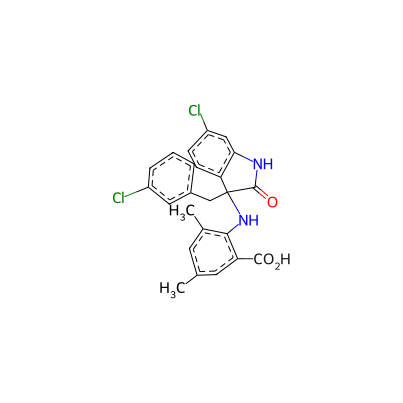 Cc1cc(C)c(NC2(Cc3cccc(Cl)c3)C(=O)Nc3cc(Cl)ccc32)c(C(=O)O)c1